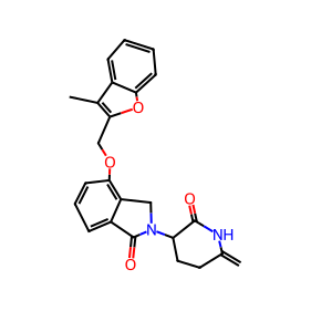 C=C1CCC(N2Cc3c(OCc4oc5ccccc5c4C)cccc3C2=O)C(=O)N1